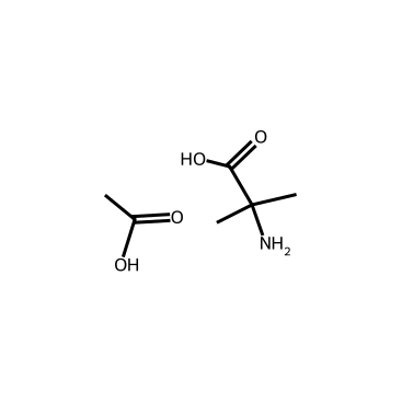 CC(=O)O.CC(C)(N)C(=O)O